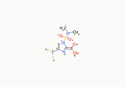 CN(C)S(=O)(=O)n1cc(C(F)F)nc1C(=O)O